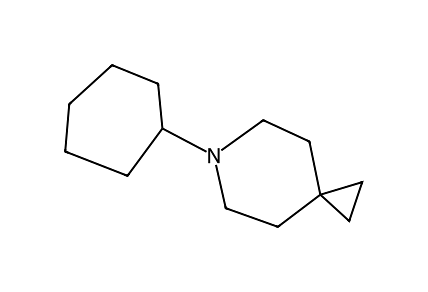 C1CCC(N2CCC3(CC2)CC3)CC1